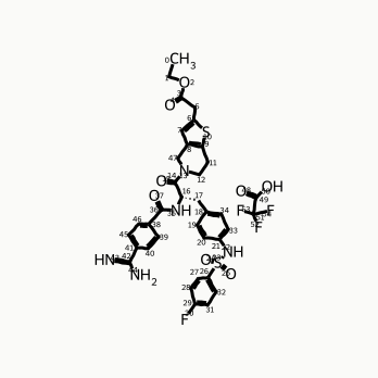 CCOC(=O)Cc1cc2c(s1)CCN(C(=O)[C@H](Cc1ccc(NS(=O)(=O)c3ccc(F)cc3)cc1)NC(=O)c1ccc(C(=N)N)cc1)C2.O=C(O)C(F)(F)F